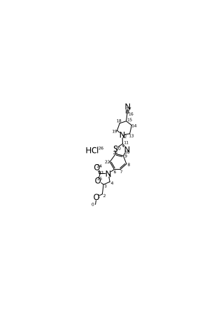 COCC1CN(c2ccc3nc(N4CCC(C#N)CC4)sc3c2)C(=O)O1.Cl